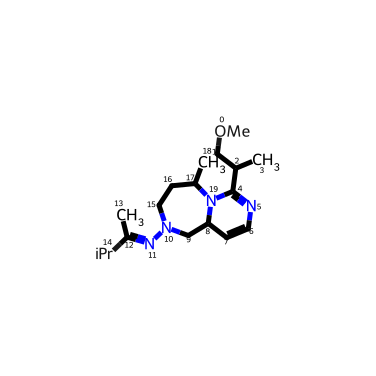 COCC(C)C1=NC=CC2CN(/N=C(\C)C(C)C)CCC(C)N12